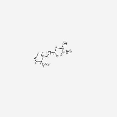 COc1ccccc1CNC1CCC(N)C(O)C1